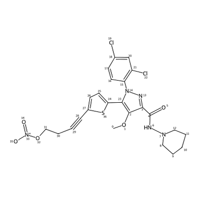 COc1c(C(=O)NN2CCCCC2)nn(-c2ccc(Cl)cc2Cl)c1-c1ccc(C#CCCO[N+](=O)[O-])s1